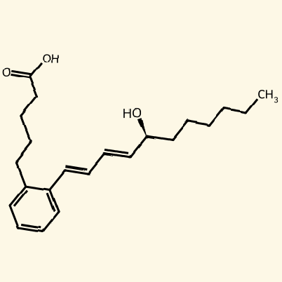 CCCCCC[C@H](O)/C=C/C=C/c1ccccc1CCCCC(=O)O